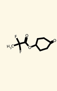 CC(F)(F)C(=O)OC1CCC(=O)CC1